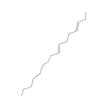 [CH2]CC=CCCC=CCCCCCCCC